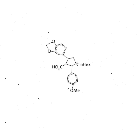 CCCCCCN1CC(c2ccc3c(c2)OCO3)C(C(=O)O)C1c1ccc(OC)cc1